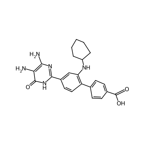 Nc1nc(-c2ccc(-c3ccc(C(=O)O)cc3)c(NC3CCCCC3)c2)[nH]c(=O)c1N